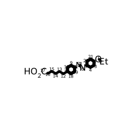 CCOc1ccc(N=Nc2ccc(CCCCCC(=O)O)cc2)cc1